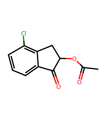 CC(=O)OC1Cc2c(Cl)cccc2C1=O